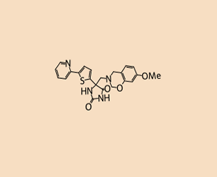 COc1ccc2c(c1)OCN(CC1(c3ccc(-c4ccccn4)s3)NC(=O)NC1=O)C2